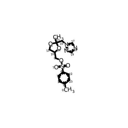 Cc1ccc(S(=O)(=O)OCC2COC(C)(Cn3cncn3)O2)cc1